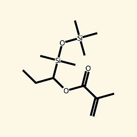 C=C(C)C(=O)OC(CC)[Si](C)(C)O[Si](C)(C)C